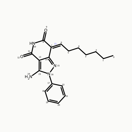 CCCCCC/C=C1/C(=O)NC(=O)c2c1nn(-c1ccccc1)c2N